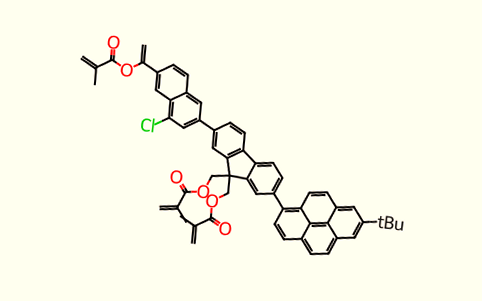 C=C(C)C(=O)OCC1(COC(=O)C(=C)C)c2cc(-c3cc(Cl)c4cc(C(=C)OC(=O)C(=C)C)ccc4c3)ccc2-c2ccc(-c3ccc4ccc5cc(C(C)(C)C)cc6ccc3c4c56)cc21